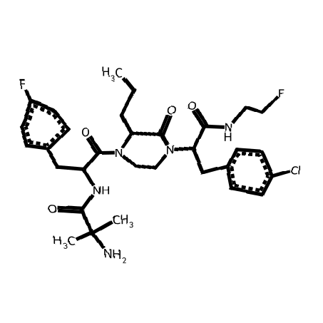 CCCC1C(=O)N(C(Cc2ccc(Cl)cc2)C(=O)NCCF)CCN1C(=O)C(Cc1ccc(F)cc1)NC(=O)C(C)(C)N